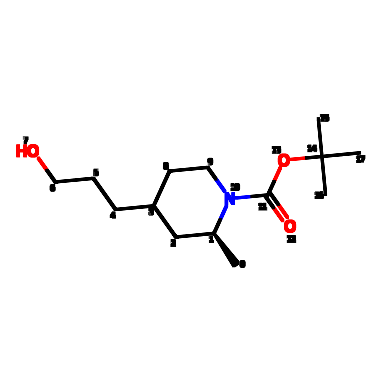 C[C@H]1CC(CCCO)CCN1C(=O)OC(C)(C)C